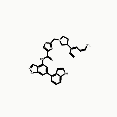 C=C/C(=C\C=C/N)C1CCN(Cc2nc(C(=O)Nc3cc(-c4cccc5[nH]ccc45)cc4[nH]ncc34)cs2)C1